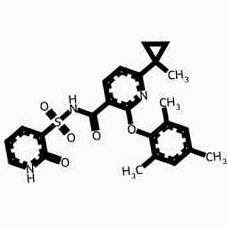 Cc1cc(C)c(Oc2nc(C3(C)CC3)ccc2C(=O)NS(=O)(=O)c2ccc[nH]c2=O)c(C)c1